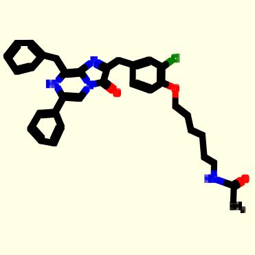 BC(=O)NCCCCCCOc1ccc(Cc2nc3c(Cc4ccccc4)[nH]c(-c4ccccc4)cn-3c2=O)cc1Cl